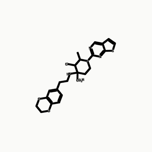 CC1C(Cl)C(NCCc2ccc3c(c2)OCCO3)(C(=O)O)CCN1c1ncc2ccsc2n1